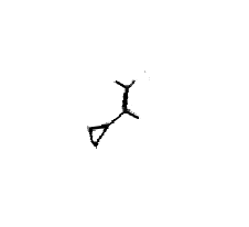 CC(C#N)=C(C)C1CC1